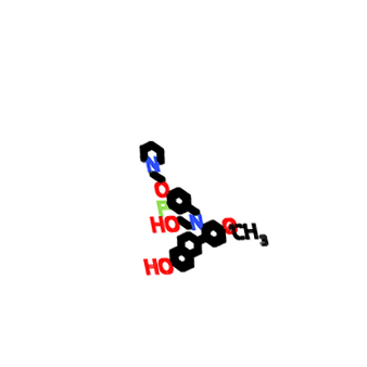 COc1ccc(C2CCc3cc(O)ccc3C2)c(N(CCO)Cc2ccc(OCCN3CCCCC3)c(F)c2)c1